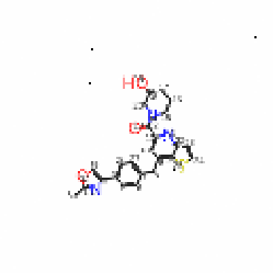 Cc1nc(-c2ccc(Cc3cc(C(=O)N4CCC[C@@H](O)C4)nc4ccsc34)cc2)co1